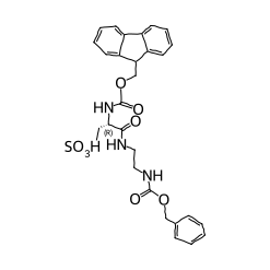 O=C(NCCNC(=O)[C@H](CS(=O)(=O)O)NC(=O)OCC1c2ccccc2-c2ccccc21)OCc1ccccc1